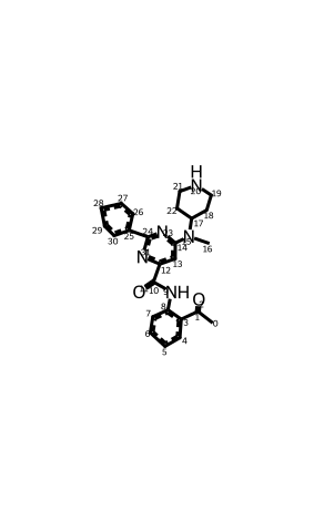 CC(=O)c1ccccc1NC(=O)c1cc(N(C)C2CCNCC2)nc(-c2ccccc2)n1